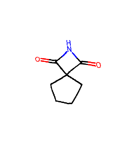 O=C1NC(=O)C12CCCC2